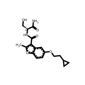 Cc1oc2ccc(OCCC3CC3)cc2c1C(=O)N[C@@H](CO)C(N)=O